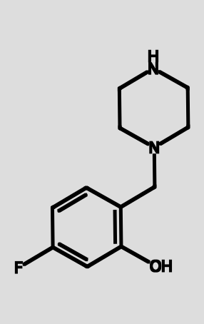 Oc1cc(F)ccc1CN1CCNCC1